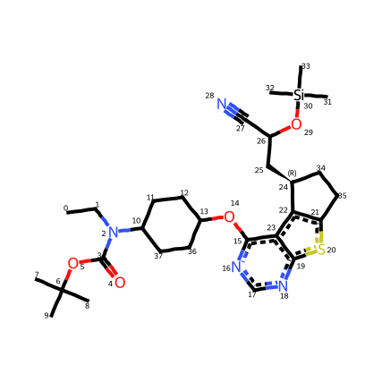 CCN(C(=O)OC(C)(C)C)C1CCC(Oc2ncnc3sc4c(c23)[C@@H](CC(C#N)O[Si](C)(C)C)CC4)CC1